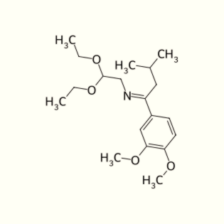 CCOC(CN=C(CC(C)C)c1ccc(OC)c(OC)c1)OCC